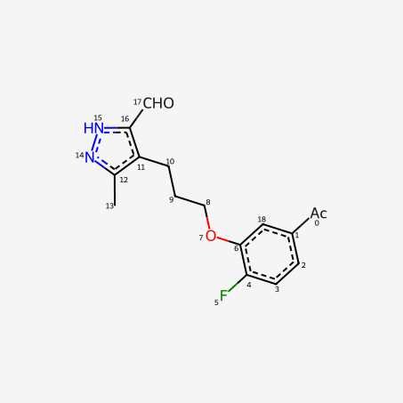 CC(=O)c1ccc(F)c(OCCCc2c(C)n[nH]c2C=O)c1